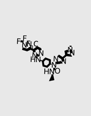 Cn1cc(-c2cnc(N(C(=O)NC3CC3)[C@H]3CC[C@H](Nc4ncc(C(F)(F)F)c(-c5ccn(C(F)F)n5)n4)CC3)cn2)cn1